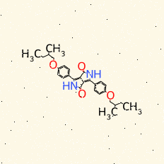 CCC(C)COc1ccc(C2=C3C(=O)NC(c4ccc(OCC(C)CC)cc4)=C3C(=O)N2)cc1